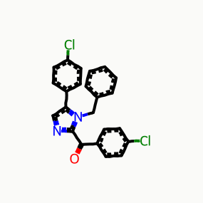 O=C(c1ccc(Cl)cc1)c1ncc(-c2ccc(Cl)cc2)n1Cc1ccccc1